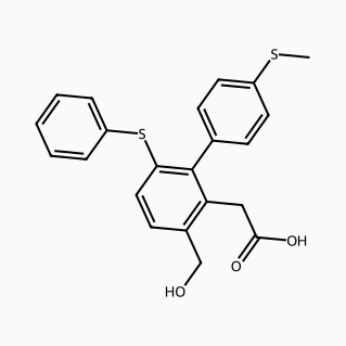 CSc1ccc(-c2c(Sc3ccccc3)ccc(CO)c2CC(=O)O)cc1